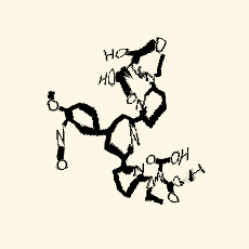 CCN(c1cccc(-c2cc(-c3ccc(OC)c(N=C=O)c3)cc(-c3cccc(N(CC)N(C(=O)O)C(=O)O)n3)n2)n1)N(C(=O)O)C(=O)O